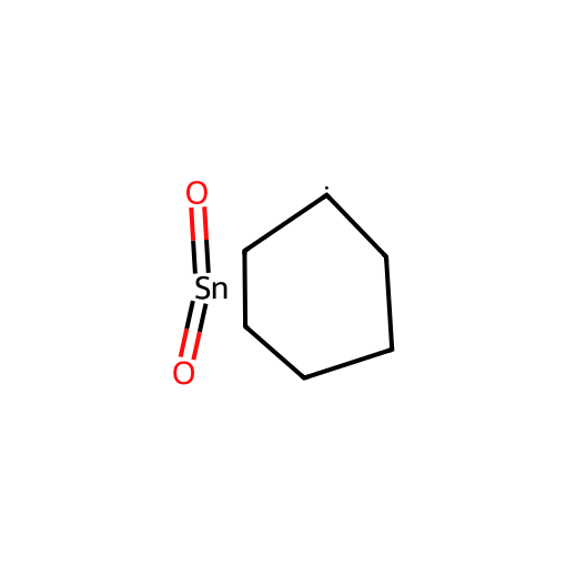 [CH]1CCCCC1.[O]=[Sn]=[O]